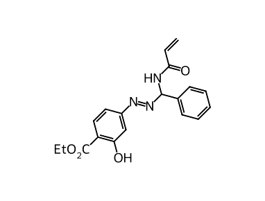 C=CC(=O)NC(N=Nc1ccc(C(=O)OCC)c(O)c1)c1ccccc1